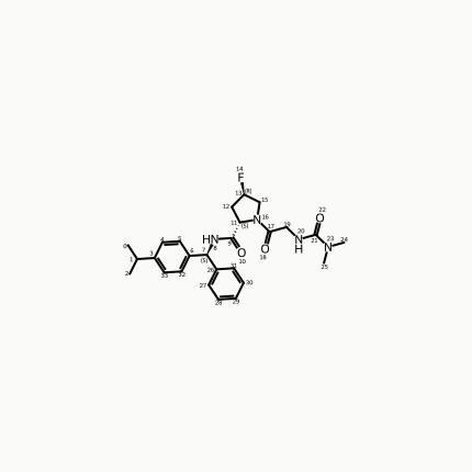 CC(C)c1ccc([C@@H](NC(=O)[C@@H]2C[C@@H](F)CN2C(=O)CNC(=O)N(C)C)c2ccccc2)cc1